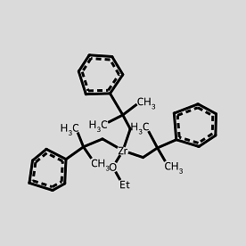 CC[O][Zr]([CH2]C(C)(C)c1ccccc1)([CH2]C(C)(C)c1ccccc1)[CH2]C(C)(C)c1ccccc1